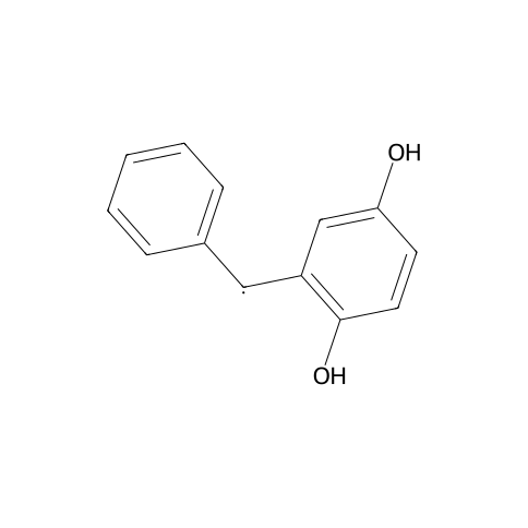 Oc1ccc(O)c([CH]c2ccccc2)c1